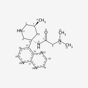 C[C@@H]1CNC[C@](NC(=O)CN(C)C)(c2ccnc3nccnc23)C1